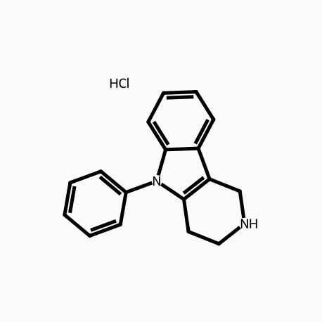 Cl.c1ccc(-n2c3c(c4ccccc42)CNCC3)cc1